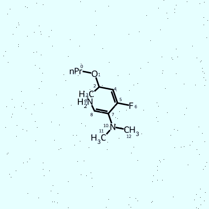 CCCOC(C)/C=C(F)\C(=C/N)N(C)C